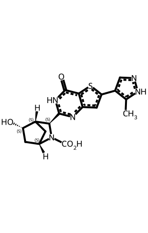 Cc1[nH]ncc1-c1cc2nc([C@@H]3[C@@H]4C[C@@H](C[C@@H]4O)N3C(=O)O)[nH]c(=O)c2s1